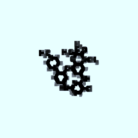 Cc1cc(Nc2ncc(Cl)c(Nc3ccc4c(c3)N(C)C(=O)C(C)(C)O4)n2)ccc1N1CCN(C)CC1